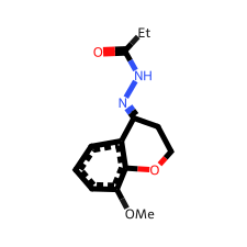 CCC(=O)NN=C1CCOc2c(OC)cccc21